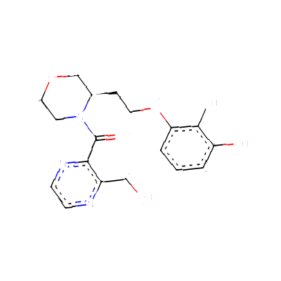 O=Cc1c(O)cccc1OCC[C@@H]1COCCN1C(=O)c1nccnc1CO